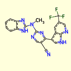 CN(c1ncc(C#N)c(-c2c[nH]c3ncc(C(F)(F)F)cc23)n1)c1nc2ccccc2[nH]1